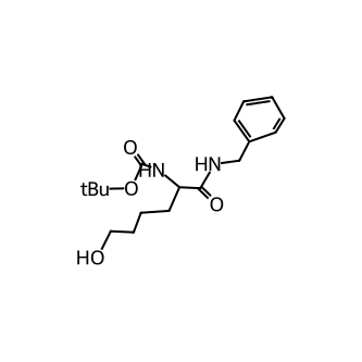 CC(C)(C)OC(=O)NC(CCCCO)C(=O)NCc1ccccc1